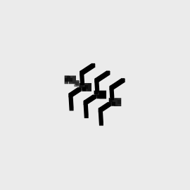 CCNCC.CCNCC.CCNCC.P